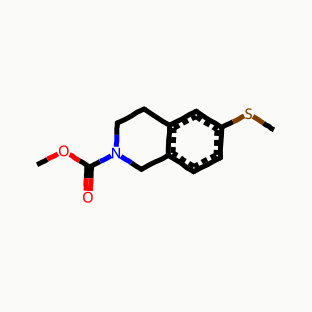 COC(=O)N1CCc2cc(SC)ccc2C1